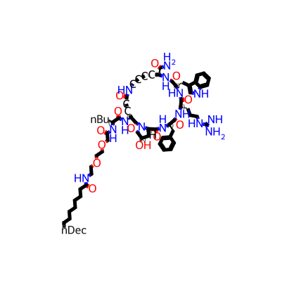 CCCCCCCCCCCCCCCCCC(=O)NCCOCCOCC(=O)N[C@@H](CCCC)C(=O)N[C@H]1CCC(=O)NCCCC[C@@H](C(N)=O)NC(=O)[C@H](Cc2c[nH]c3ccccc23)NC(=O)[C@H](CCCNC(=N)N)NC(=O)[C@@H](Cc2ccccc2)NC(=O)[C@@H]2C[C@@H](O)CN2C1=O